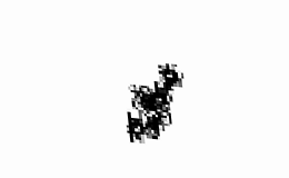 CCS(=O)(=O)n1cc(C(=O)C2=CSC(c3cccnc3)N2)c2ccc(OCc3ccccc3)cc21